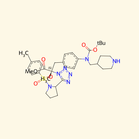 COC(=O)[C@](C)(Cc1ccc(N(CC2CCNCC2)C(=O)OC(C)(C)C)cc1)n1nnnc1C1CCCN1S(=O)(=O)c1ccc(C)cc1